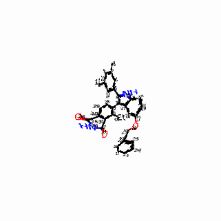 CCc1c(-c2c(-c3cc(C)cc(C)c3)[nH]c3ccc(OCc4ccccc4)cc23)ccc2c1C(=O)NC2=O